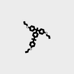 C=CCOc1ccc(C(C)(C)c2ccc(C(C)(c3ccc(OCC=C)cc3)c3ccc(OCC=C)cc3)cc2)cc1